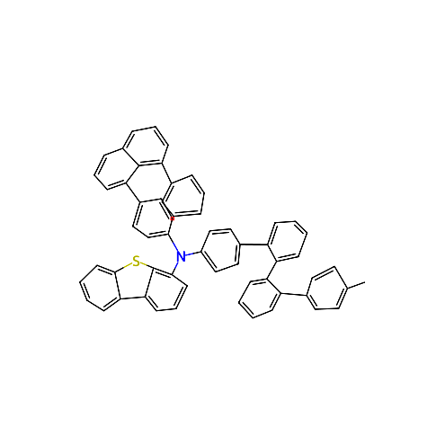 Cc1ccc(-c2ccccc2-c2ccccc2-c2ccc(N(c3ccc(-c4cccc5cccc(-c6ccccc6)c45)cc3)c3cccc4c3sc3ccccc34)cc2)cc1